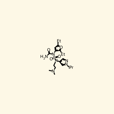 CCc1cc(N(C(N)=O)S(=O)(=O)N(CCN(C)C)c2cnn(C(C)C)c2)c(CC)o1